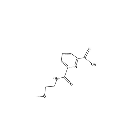 COCCNC(=O)c1cccc(C(=O)O)n1